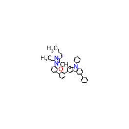 CCC/C=C\c1nc(CC)n(-c2cccc3c2oc2c(-c4ccc5c(c4)c4cc(-c6ccccc6)ccc4n5-c4ccccc4)cccc23)c1C